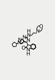 O=C1Nc2ccccc2C1c1nc(NCCCN2CCOCC2)nc2nn(C3CCCC3)cc12